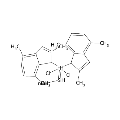 CCCC[SiH]=[Hf]([Cl])([Cl])([CH]1C(C)=Cc2c(C)ccc(C)c21)[CH]1C(C)=Cc2c(C)ccc(C)c21